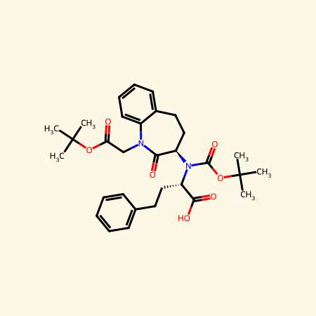 CC(C)(C)OC(=O)CN1C(=O)[C@H](N(C(=O)OC(C)(C)C)[C@@H](CCc2ccccc2)C(=O)O)CCc2ccccc21